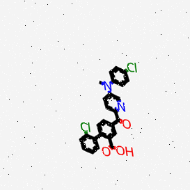 CN(c1ccc(Cl)cc1)c1ccc(C(=O)c2ccc(-c3ccccc3Cl)c(C(=O)O)c2)nc1